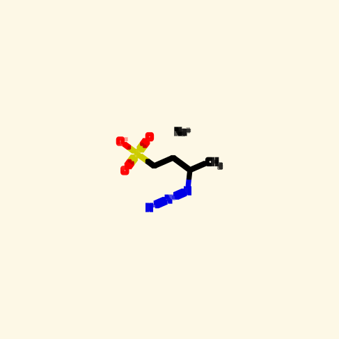 CC(CCS(=O)(=O)[O-])N=[N+]=[N-].[Na+]